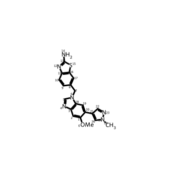 COc1cc2ncn(Cc3ccc4nc(N)sc4c3)c2cc1-c1cnn(C)c1